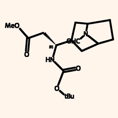 COC(=O)C[C@@H](NC(=O)OC(C)(C)C)C1CC2CCC(C1)N2C=O